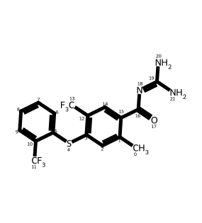 Cc1cc(Sc2ccccc2C(F)(F)F)c(C(F)(F)F)cc1C(=O)N=C(N)N